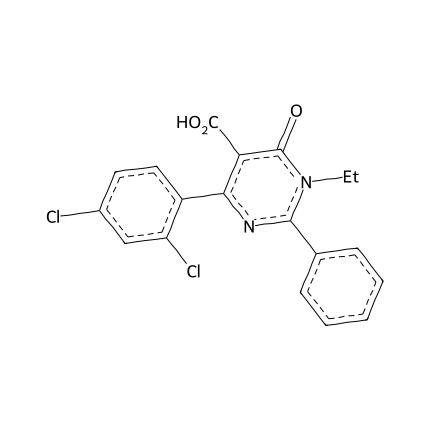 CCn1c(-c2ccccc2)nc(-c2ccc(Cl)cc2Cl)c(C(=O)O)c1=O